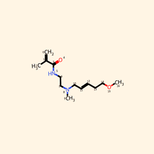 C=C(C)C(=O)NCCN(C)CC=CCCOC